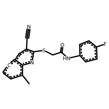 Cc1cccc2cc(C#N)c(SCC(=O)Nc3ccc(F)cc3)nc12